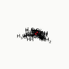 CC(=O)SCCNC(=O)CCNC(=O)C(O)C(C)(C)COP(=O)(O)OP(=O)(O)OC[C@H]1O[C@@H](n2cnc3c(N)ncnc32)[C@H](O)[C@@H]1OP(=O)(O)O.C[N+](C)(C)CC(O)CC(=O)[O-]